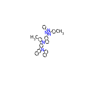 CC1C=CC(c2nc(-c3ccccc3)nc(-c3ccc4c(-n5c6c(c7cc8c9cc%10ccccc%10cc9n(-c9cccc%10ccccc9%10)c8cc75)CC(C)C=C6)cccc4c3)n2)=CC1